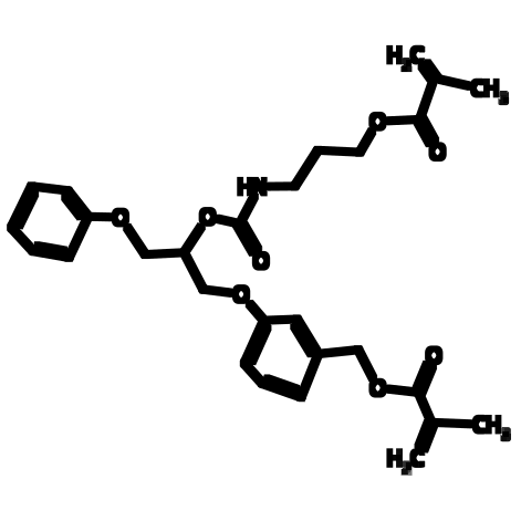 C=C(C)C(=O)OCCCNC(=O)OC(COc1ccccc1)COc1cccc(COC(=O)C(=C)C)c1